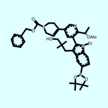 CCn1c(-c2cc(C3=CCN(C(=O)OCc4ccccc4)CC3)cnc2[C@H](C)OC)c(CC(C)(C)CO)c2cc(B3OC(C)(C)C(C)(C)O3)ccc21